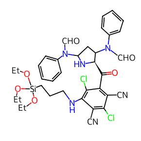 CCO[Si](CCCNc1c(Cl)c(C(=O)[C@H]2NC(N(C=O)c3ccccc3)CC2N(C=O)c2ccccc2)c(C#N)c(Cl)c1C#N)(OCC)OCC